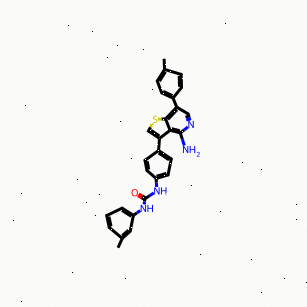 Cc1ccc(-c2cnc(N)c3c(-c4ccc(NC(=O)Nc5cccc(C)c5)cc4)csc23)cc1